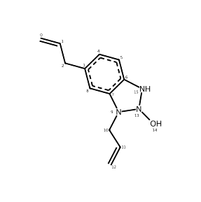 C=CCc1ccc2c(c1)N(CC=C)N(O)N2